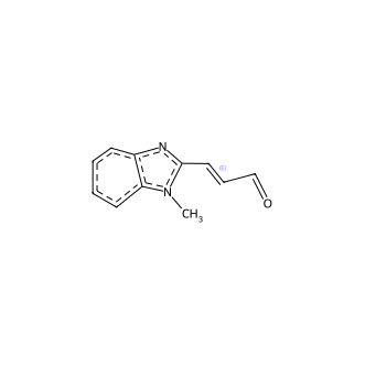 Cn1c(/C=C/C=O)nc2ccccc21